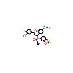 COc1ccc2c(c1)OC(c1ccc(Cl)c(Cl)c1)CC2N(C(=O)C1CC1)c1ccc2c(c1)OC(F)(F)O2